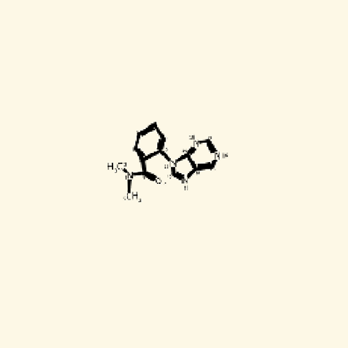 CN(C)C(=O)c1ccccc1-n1cnc2cncnc21